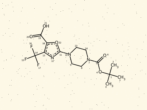 CC(C)(C)OC(=O)N1CCN(c2nc(C(F)(F)F)c(C(=O)O)o2)CC1